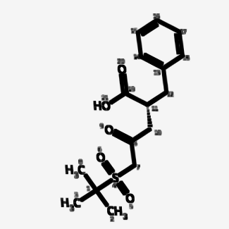 CC(C)(C)S(=O)(=O)CC(=O)C[C@@H](Cc1ccccc1)C(=O)O